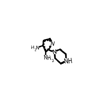 Nc1ccnc(N2CCNCC2)c1N